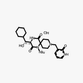 CCCCN1C(=O)[C@@H]([C@H](O)C2CCCCC2)NC(=O)C12CCN(Cc1ccc[nH]c1=O)CC2.Cl